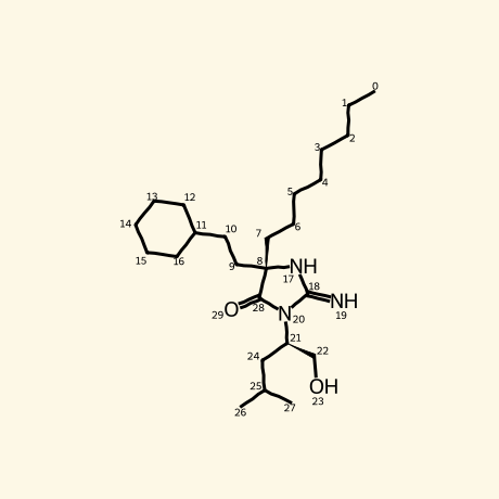 CCCCCCCC[C@@]1(CCC2CCCCC2)NC(=N)N([C@@H](CO)CC(C)C)C1=O